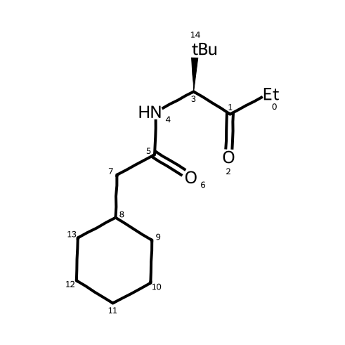 CCC(=O)[C@@H](NC(=O)CC1CCCCC1)C(C)(C)C